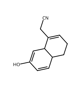 N#CCC1=CCCC2C=CC(O)=CC12